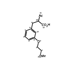 COCCOc1cccc(CC(C(C)=O)C(=O)O)c1